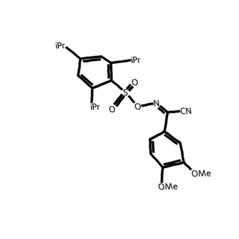 COc1ccc(/C(C#N)=N\OS(=O)(=O)c2c(C(C)C)cc(C(C)C)cc2C(C)C)cc1OC